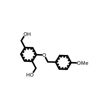 COc1ccc(COc2cc(CO)ccc2CO)cc1